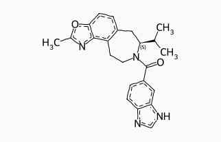 Cc1nc2c3c(ccc2o1)C[C@@H](C(C)C)N(C(=O)c1ccc2nc[nH]c2c1)CC3